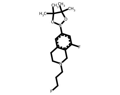 CC1(C)OB(c2cc(F)c3c(c2)CCN(CCCF)C3)OC1(C)C